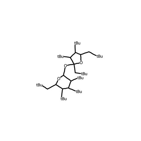 CC(C)(C)CC1OC(OC2(CC(C)(C)C)OC(CC(C)(C)C)C(C(C)(C)C)C2C(C)(C)C)C(C(C)(C)C)C(C(C)(C)C)C1C(C)(C)C